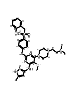 COc1c(Nc2cc(C)[nH]n2)nc(Sc2ccc(S(=O)(=O)Cc3ccccc3Cl)cc2)nc1N1CCN(CCN(C)C)CC1